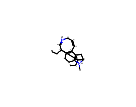 CCC1C2CC3=C(CCC4=C3/C=C\C/N=C\C41CC)N2C